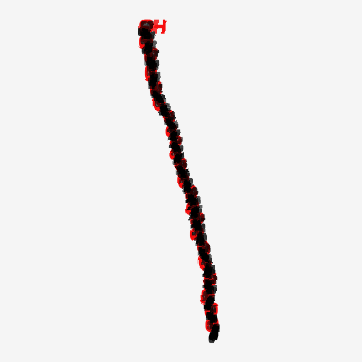 C#CCOCCOCCOCCOCCOCCOCCOCCOCCOCCOCCOCCOCCOCCOCCOCCOCCOCCOCCOCCOCCOCCO